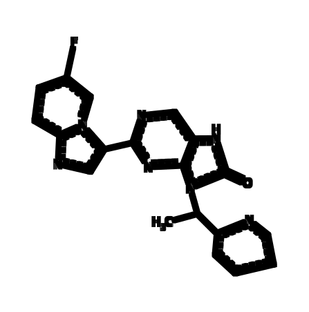 CC(c1ccccn1)n1c(=O)[nH]c2cnc(-c3cnc4ccc(F)cn34)nc21